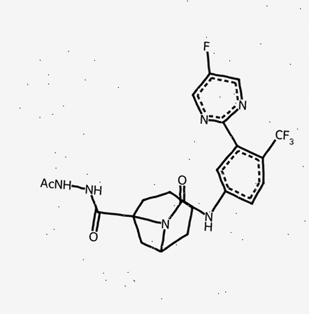 CC(=O)NNC(=O)C12CCCCC(C1)N2C(=O)Nc1ccc(C(F)(F)F)c(-c2ncc(F)cn2)c1